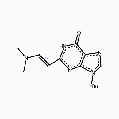 CN(C)/C=C/c1nc2c(ncn2C(C)(C)C)c(=O)[nH]1